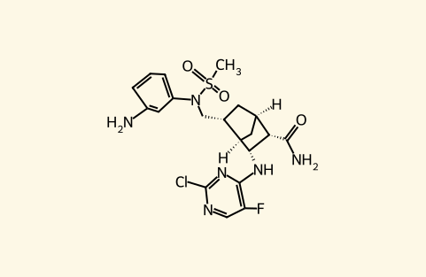 CS(=O)(=O)N(C[C@@H]1C[C@@H]2C[C@H]1[C@@H](Nc1nc(Cl)ncc1F)[C@H]2C(N)=O)c1cccc(N)c1